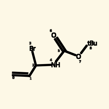 C=CC(Br)NC(=O)OC(C)(C)C